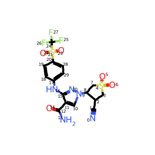 N#CC1CS(=O)(=O)CC1n1cc(C(N)=O)c(Nc2ccc(S(=O)(=O)C(F)(F)F)cc2)n1